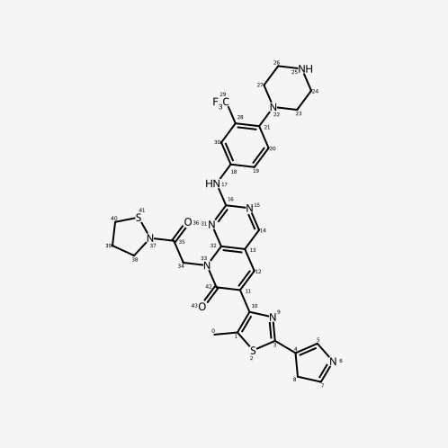 Cc1sc(C2=CN=CC2)nc1-c1cc2cnc(Nc3ccc(N4CCNCC4)c(C(F)(F)F)c3)nc2n(CC(=O)N2CCCS2)c1=O